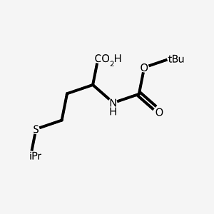 CC(C)SCCC(NC(=O)OC(C)(C)C)C(=O)O